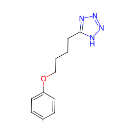 [c]1ccc(OCCCCc2nnn[nH]2)cc1